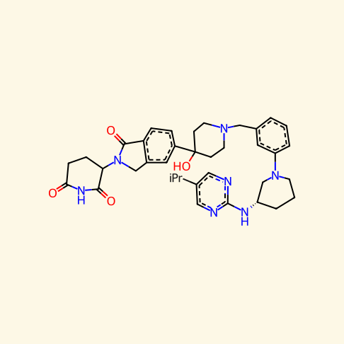 CC(C)c1cnc(N[C@H]2CCCN(c3cccc(CN4CCC(O)(c5ccc6c(c5)CN(C5CCC(=O)NC5=O)C6=O)CC4)c3)C2)nc1